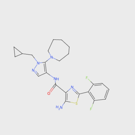 Nc1sc(-c2c(F)cccc2F)nc1C(=O)Nc1cnn(CC2CC2)c1N1CCCCCC1